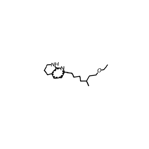 CCOCCC(C)CCCCc1ccc2c(n1)NCCC2